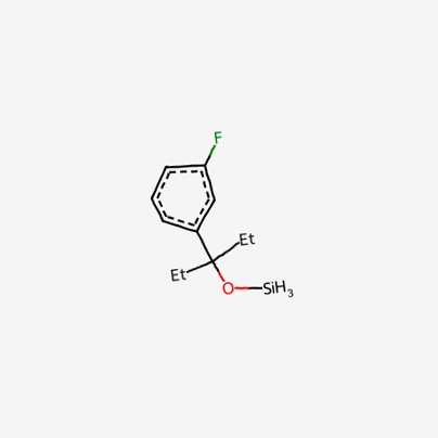 CCC(CC)(O[SiH3])c1cccc(F)c1